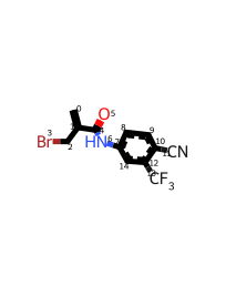 C=C(CBr)C(=O)Nc1ccc(C#N)c(C(F)(F)F)c1